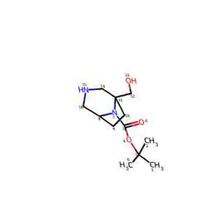 CC(C)(C)OC(=O)N1C2CCC1(CO)CNC2